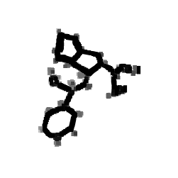 CC(C)(C)N(C(=O)O)[C@@H]1Cc2ccccc2[C@H]1C[S+]([O-])N1CCOCC1